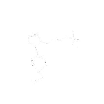 C[Si](C)(C)CCOCn1ccnc1-c1ccc(CN)cc1